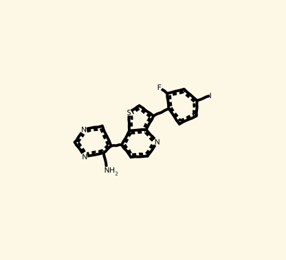 Nc1ncncc1-c1ccnc2c(-c3ccc(I)cc3F)csc12